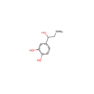 C[N]CC(O)c1ccc(O)c(O)c1